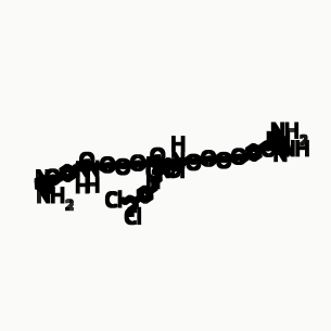 Nc1ccnc(OCc2ccc(CNC(=O)NCCOCCOCCOCCNC(=O)C(CC(=O)NCCOCCOCCOCCOCc3ccc(COc4nc(N)nc5[nH]cnc45)cc3)NC(=O)CCCc3ccc(C(CCCl)CCCl)cc3)cc2)n1